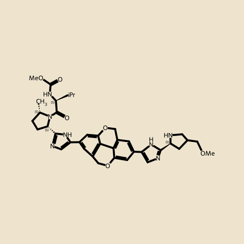 COCC1CN[C@H](c2ncc(-c3cc4c5c(c3)OCc3cc(-c6cnc([C@@H]7CC[C@H](C)N7C(=O)[C@@H](NC(=O)OC)C(C)C)[nH]6)cc(c3-5)OC4)[nH]2)C1